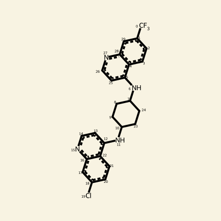 FC(F)(F)c1ccc2c(NC3CCC(Nc4ccnc5cc(Cl)ccc45)CC3)ccnc2c1